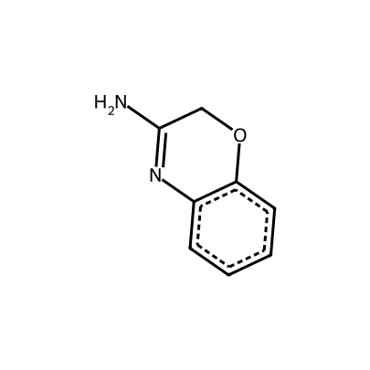 NC1=Nc2ccccc2OC1